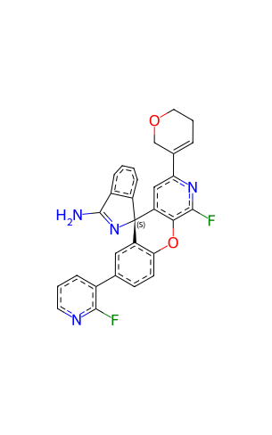 NC1=N[C@]2(c3cc(-c4cccnc4F)ccc3Oc3c2cc(C2=CCCOC2)nc3F)c2ccccc21